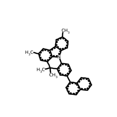 Cc1ccc2c(c1)c1cc(C)cc3c1n2-c1ccc(-c2cccc4ccccc24)cc1C3(C)C